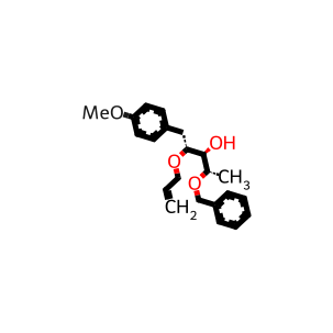 C=CCO[C@H](Cc1ccc(OC)cc1)[C@@H](O)[C@H](C)OCc1ccccc1